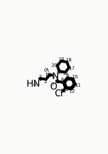 C[C@@H](CC=N)N(C(=O)c1ccccc1Cl)C1CCCCC1